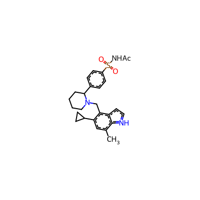 CC(=O)NS(=O)(=O)c1ccc(C2CCCCN2Cc2c(C3CC3)cc(C)c3[nH]ccc23)cc1